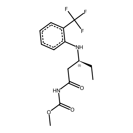 CC[C@@H](CC(=O)NC(=O)OC)Nc1ccccc1C(F)(F)F